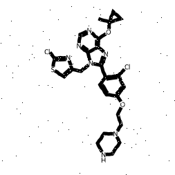 CC1(Oc2ncnc3c2nc(-c2ccc(OCCN4CCNCC4)cc2Cl)n3Cc2csc(Cl)n2)CC1